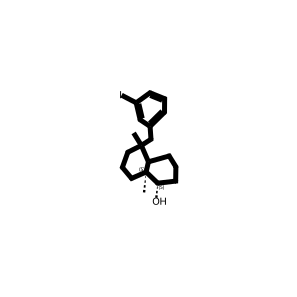 CC1(Cc2cccc(I)c2)CCC[C@@]2(C)C1CCC[C@@H]2O